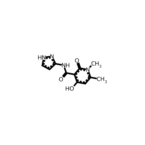 Cc1cc(O)c(C(=O)Nc2cc[nH]n2)c(=O)n1C